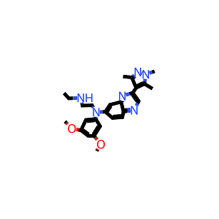 CCNCCN(c1cc(OC)cc(OC)c1)c1ccc2ncc(-c3c(C)nn(C)c3C)nc2c1